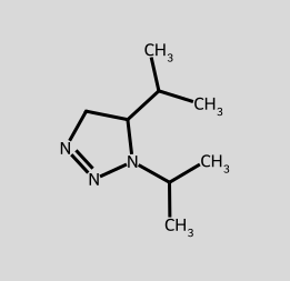 CC(C)C1CN=NN1C(C)C